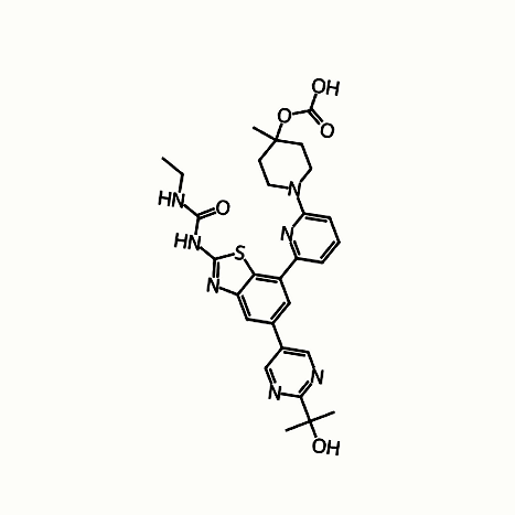 CCNC(=O)Nc1nc2cc(-c3cnc(C(C)(C)O)nc3)cc(-c3cccc(N4CCC(C)(OC(=O)O)CC4)n3)c2s1